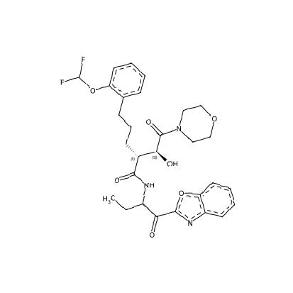 CCC(NC(=O)[C@H](CCCc1ccccc1OC(F)F)[C@H](O)C(=O)N1CCOCC1)C(=O)c1nc2ccccc2o1